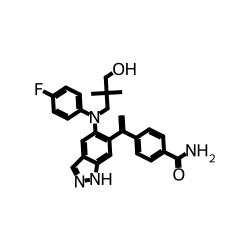 C=C(c1ccc(C(N)=O)cc1)c1cc2[nH]ncc2cc1N(CC(C)(C)CO)c1ccc(F)cc1